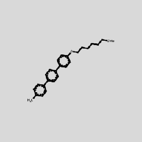 COCCCCCCOc1ccc(-c2ccc(-c3ccc(C)cc3)cc2)cc1